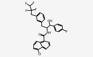 O=C(NC(Cc1cccc(CC(F)(F)C(F)F)c1)C(O)c1ccc(F)cc1)c1cccc2c(Cl)cccc12